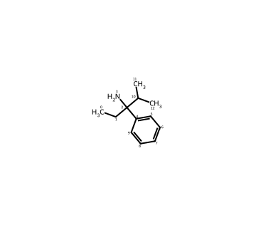 CCC(N)(c1c[c]ccc1)C(C)C